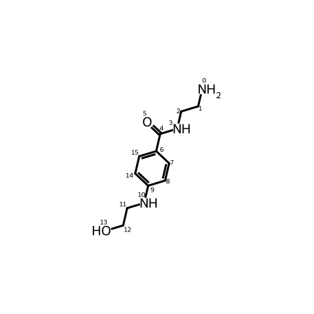 NCCNC(=O)c1ccc(NCCO)cc1